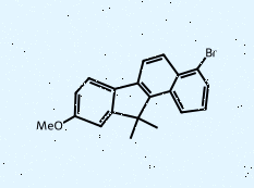 COc1ccc2c(c1)C(C)(C)c1c-2ccc2c(Br)cccc12